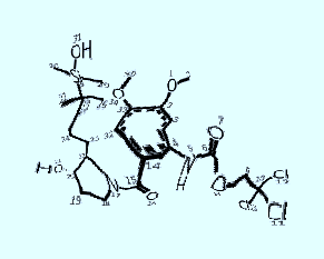 COc1cc(NC(=O)OCC(Cl)(Cl)Cl)c(C(=O)N2CC[C@H](O)[C@H]2CCC(C)(C)[Si](C)(C)O)cc1OC